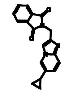 O=C1c2ccccc2C(=O)N1Cc1cn2cc(C3CC3)ccc2n1